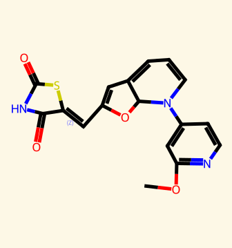 COc1cc(N2C=CC=C3C=C(/C=C4\SC(=O)NC4=O)OC32)ccn1